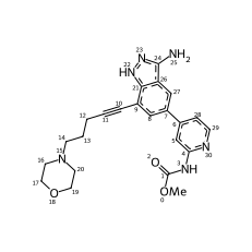 COC(=O)Nc1cc(-c2cc(C#CCCCN3CCOCC3)c3[nH]nc(N)c3c2)ccn1